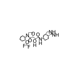 N=C1NCc2cc(NC(=O)[C@H](O)[C@H]3OCCN(c4ccccc4OC(F)F)C3=O)ccc21